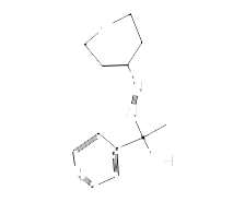 CC(O)(N=NC1CCCCC1)c1ccncc1